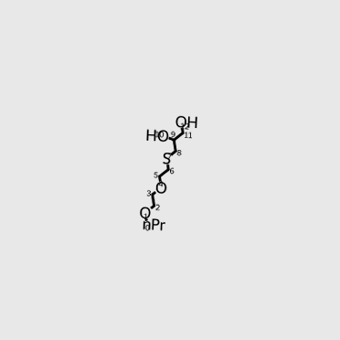 CCCOCCOCCSCC(O)CO